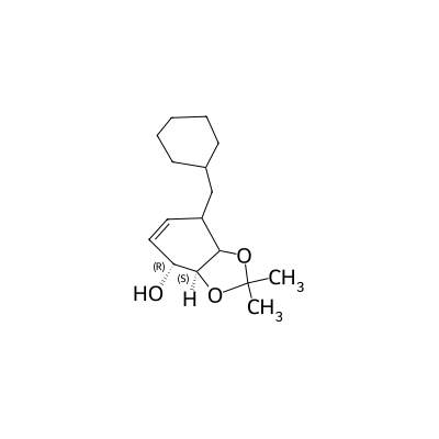 CC1(C)OC2C(CC3CCCCC3)C=C[C@@H](O)[C@@H]2O1